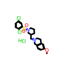 COc1ccc2c(c1)CCN(CC1CCCN(S(=O)(=O)c3cc(Cl)ccc3Cl)C1)C2.Cl